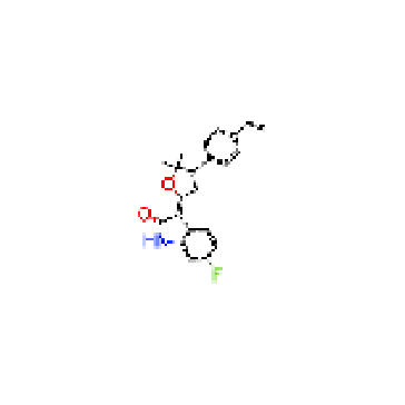 C=Cc1ccc(C2=CC(=C3C(=O)Nc4cc(F)ccc43)OC2(C)C)cc1